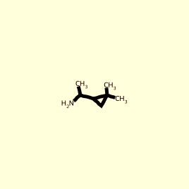 CC(N)C1CC1(C)C